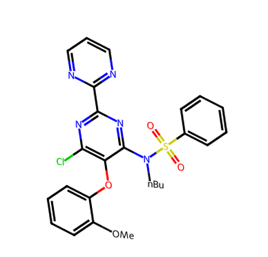 CCCCN(c1nc(-c2ncccn2)nc(Cl)c1Oc1ccccc1OC)S(=O)(=O)c1ccccc1